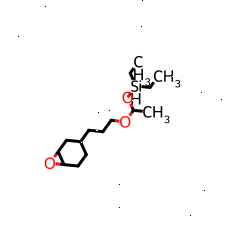 CC[SiH](CC)OC(C)OCCCC1CCC2OC2C1